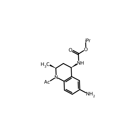 CC(=O)N1c2ccc(N)cc2[C@H](NC(=O)OC(C)C)C[C@@H]1C